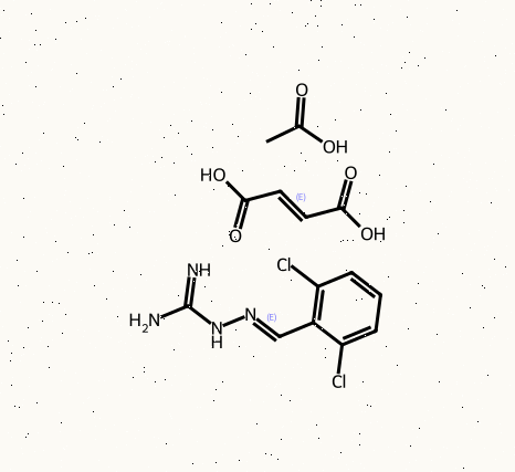 CC(=O)O.N=C(N)N/N=C/c1c(Cl)cccc1Cl.O=C(O)/C=C/C(=O)O